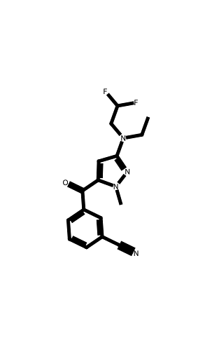 CCN(CC(F)F)c1cc(C(=O)c2cccc(C#N)c2)n(C)n1